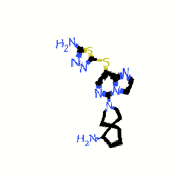 Nc1nnc(Sc2cnc(N3CCC4(CCC[C@H]4N)CC3)n3ccnc23)s1